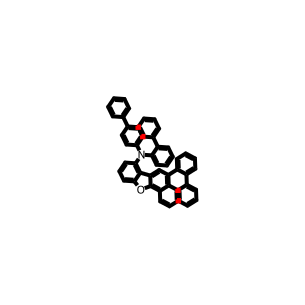 c1ccc(-c2ccc(N(c3ccccc3-c3ccccc3)c3cccc4oc5c6ccccc6c(-c6ccccc6-c6ccccc6)cc5c34)cc2)cc1